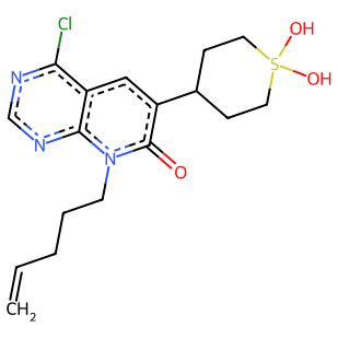 C=CCCCn1c(=O)c(C2CCS(O)(O)CC2)cc2c(Cl)ncnc21